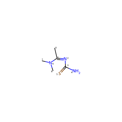 C/C(=N/C(N)=S)N(C)C